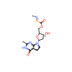 C/N=P/C(=O)OCC1OC(n2ccc3c(=O)[nH]c(C)nc32)C[C@H]1O